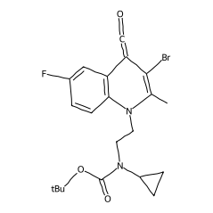 CC1=C(Br)C(=C=O)c2cc(F)ccc2N1CCN(C(=O)OC(C)(C)C)C1CC1